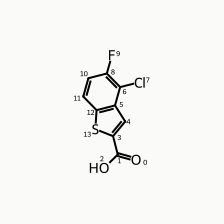 O=C(O)c1cc2c(Cl)c(F)ccc2s1